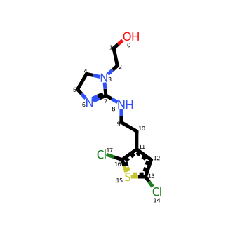 OCCN1CCN=C1NCCc1cc(Cl)sc1Cl